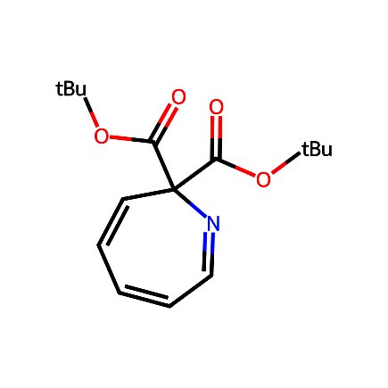 CC(C)(C)OC(=O)C1(C(=O)OC(C)(C)C)C=CC=CC=N1